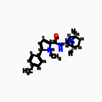 Cc1ccc(-c2ccc(C(=O)N[C@@H]3C[C@H]4CC[C@@H]3N4)n2C)cc1